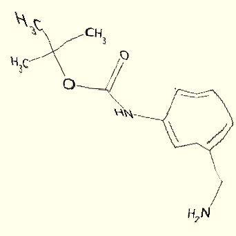 CC(C)(C)OC(=O)Nc1[c]ccc(CN)c1